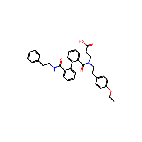 CCOc1ccc(CCN(CCC(=O)O)C(=O)c2ccccc2-c2ccccc2C(=O)NCCc2ccccc2)cc1